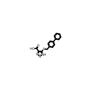 O=C(O)c1nn[nH]c1SCc1ccc(-c2ccccc2)cc1